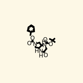 CC(C)(C)OC(=O)N1CC(=O)N[C@H]2CN(C(=O)OCc3ccccc3)C[C@@H]21